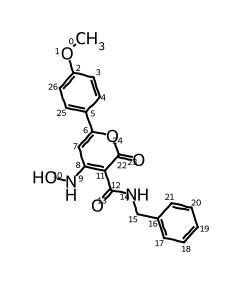 COc1ccc(-c2cc(NO)c(C(=O)NCc3ccccc3)c(=O)o2)cc1